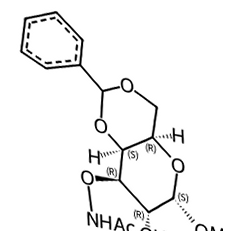 CO[C@H]1O[C@@H]2COC(c3ccccc3)O[C@@H]2[C@H](ONC(C)=O)[C@H]1O